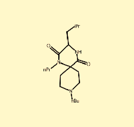 CCCCN1CCC2(CC1)C(=O)NC(CC(C)C)C(=O)N2CCC